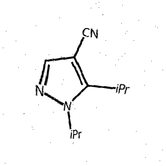 CC(C)c1c(C#N)cnn1C(C)C